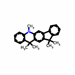 CN1c2ccccc2C(C)(C)c2cc3c(cc21)-c1ccccc1C3(C)C